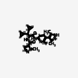 Cc1n[nH]c(C)c1-c1ccc(NC(=O)C(NC(=O)c2ccnn2C)C(C2CC2)C2CC2)nc1F